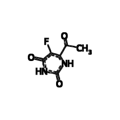 CC(=O)c1[nH]c(=O)[nH]c(=O)c1F